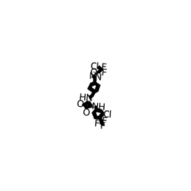 O=c1c(NCc2ccc(-c3noc(C(F)(F)Cl)n3)cc2)c(Nc2ccc(C(F)(F)F)c(Cl)c2)c1=O